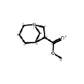 COC(=O)C1CN2CCCC1C2